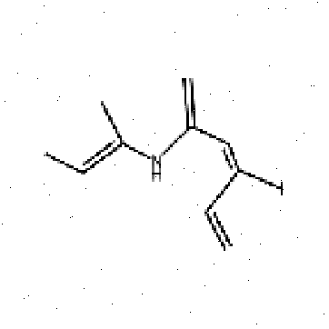 C=C/C(I)=C\C(=C)N/C(C)=C/C